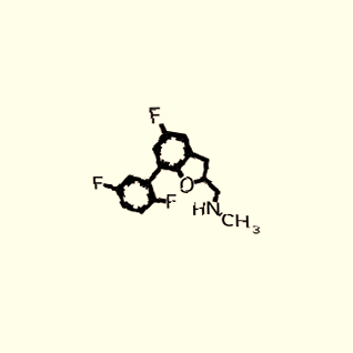 CNCC1Cc2cc(F)cc(-c3cc(F)ccc3F)c2O1